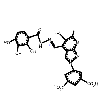 Cc1nc2nn(-c3cc(C(=O)O)cc(C(=O)O)c3)cc2c(/C=N/NC(=O)c2ccc(O)c(O)c2O)c1O